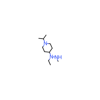 CCN(NC)C1CCN(C(C)C)CC1